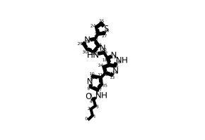 CCCCC(=O)Nc1cncc(-c2cnc3[nH]nc(-c4nc5c(-c6ccsc6)nccc5[nH]4)c3c2)c1